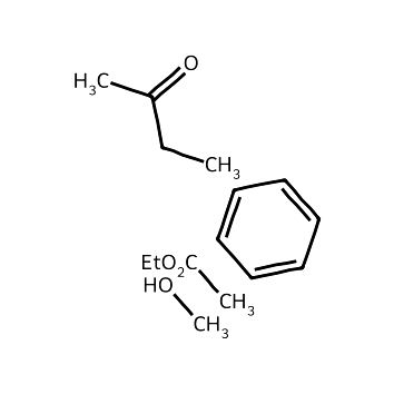 CCC(C)=O.CCOC(C)=O.CO.c1ccccc1